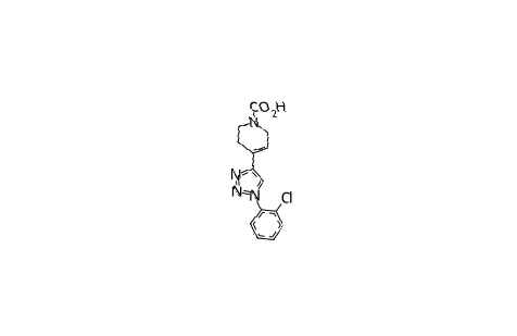 O=C(O)N1CC=C(c2cn(-c3ccccc3Cl)nn2)CC1